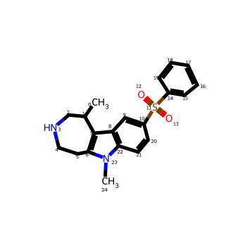 CC1CNCCc2c1c1cc(S(=O)(=O)c3ccccc3)ccc1n2C